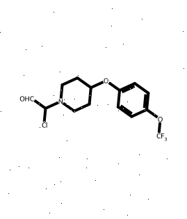 O=CC(Cl)N1CCC(Oc2ccc(OC(F)(F)F)cc2)CC1